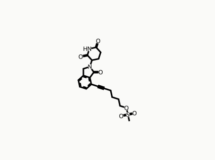 CS(=O)(=O)OCCCCC#Cc1cccc2c1C(=O)N(C1CCC(=O)NC1=O)C2